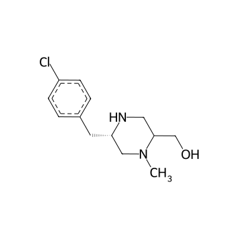 CN1C[C@H](Cc2ccc(Cl)cc2)NCC1CO